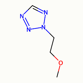 COCCn1ncnn1